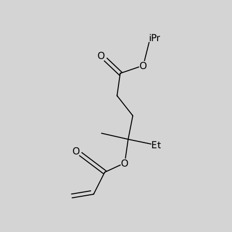 C=CC(=O)OC(C)(CC)CCC(=O)OC(C)C